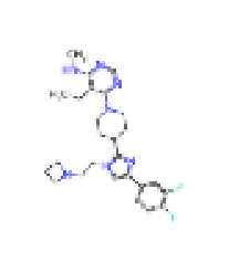 CCc1c(NC)ncnc1N1CCC(c2nc(-c3ccc(F)c(F)c3)cn2CCN2CCC2)CC1